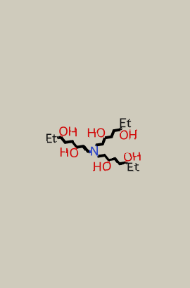 CCC(O)CCC(O)CCN(CCC(O)CCC(O)CC)CCC(O)CCC(O)CC